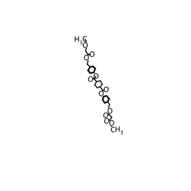 CCOCCC(=O)OCCc1ccc(OC(=O)C2CCC(C(=O)Oc3ccc(CCOC(=O)CC(=O)OCC)cc3)CC2)cc1